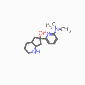 CN(C)c1cccc(C2(O)CC3CCCNC3C2)n1